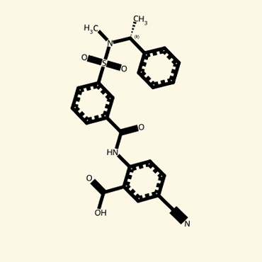 C[C@H](c1ccccc1)N(C)S(=O)(=O)c1cccc(C(=O)Nc2ccc(C#N)cc2C(=O)O)c1